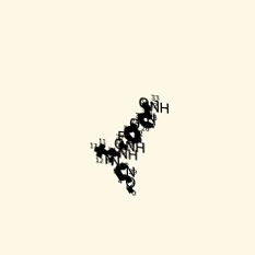 CCOc1ccc(-n2nc(C(C)(C)C)cc2NC(=O)Nc2ccc(Oc3ccnc(C(=O)NC)c3)cc2F)cn1